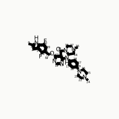 Cc1cc2c(F)c([C@@H](C)Oc3ncnc(Nc4ccc(N5CCN(C)CC5)cc4)c3C(=O)N3CCN(C)CC3)cc(F)c2[nH]1